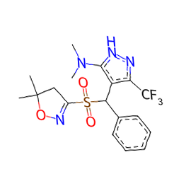 CN(C)c1[nH]nc(C(F)(F)F)c1C(c1ccccc1)S(=O)(=O)C1=NOC(C)(C)C1